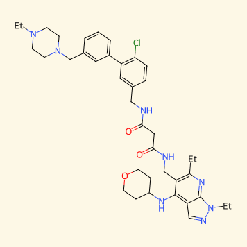 CCc1nc2c(cnn2CC)c(NC2CCOCC2)c1CNC(=O)CC(=O)NCc1ccc(Cl)c(-c2cccc(CN3CCN(CC)CC3)c2)c1